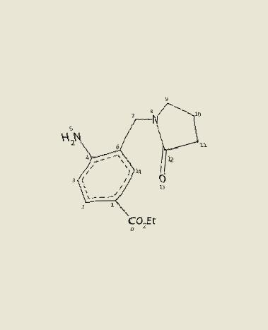 CCOC(=O)c1ccc(N)c(CN2CCCC2=O)c1